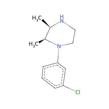 C[C@H]1NCCN(c2cccc(Cl)c2)[C@H]1C